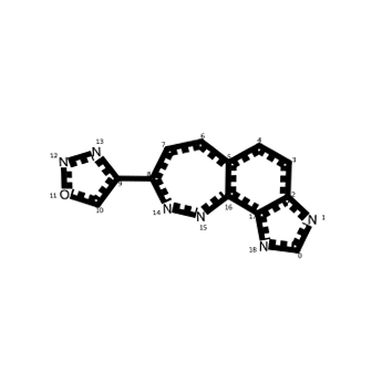 c1nc2ccc3ccc(-c4conn4)nnc3c2n1